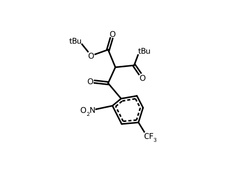 CC(C)(C)OC(=O)C(C(=O)c1ccc(C(F)(F)F)cc1[N+](=O)[O-])C(=O)C(C)(C)C